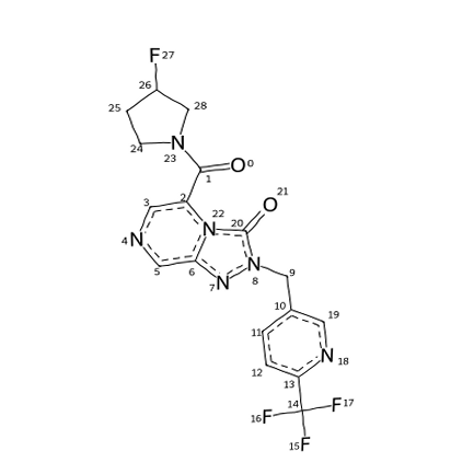 O=C(c1cncc2nn(Cc3ccc(C(F)(F)F)nc3)c(=O)n12)N1CCC(F)C1